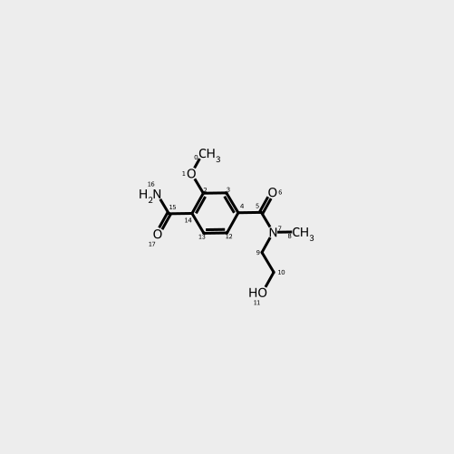 COc1cc(C(=O)N(C)CCO)ccc1C(N)=O